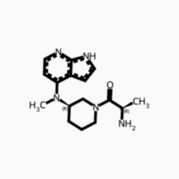 C[C@@H](N)C(=O)N1CCC[C@@H](N(C)c2ccnc3[nH]ccc23)C1